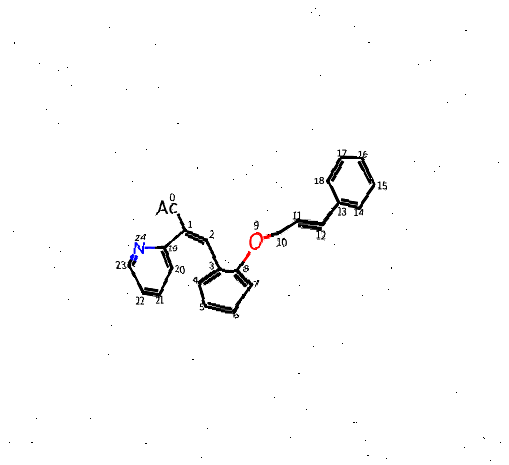 CC(=O)/C(=C/c1ccccc1OC/C=C/c1ccccc1)c1ccccn1